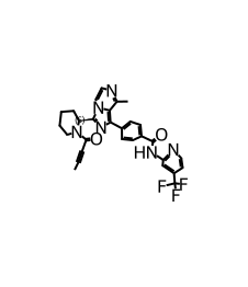 CC#CC(=O)N1CCCC[C@H]1c1nc(-c2ccc(C(=O)Nc3cc(C(F)(F)F)ccn3)cc2)c2c(C)nccn12